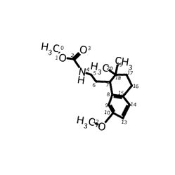 COC(=O)NCCC1c2cc(OC)ccc2CCC1(C)C